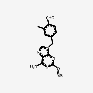 CCCCOc1nc(N)c2ncn(Cc3ccc(C=O)c(C)c3)c2n1